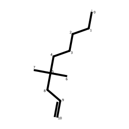 [CH2]CCCCC(C)(C)CC=C